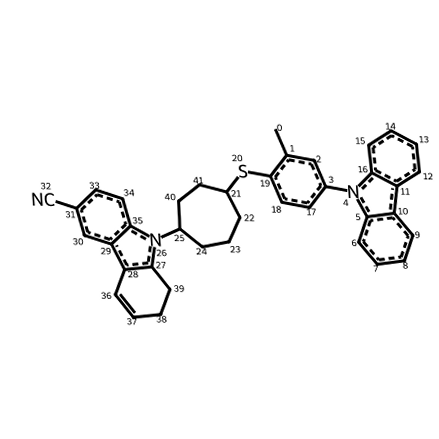 Cc1cc(-n2c3ccccc3c3ccccc32)ccc1SC1CCCC(n2c3c(c4cc(C#N)ccc42)C=CCC3)CC1